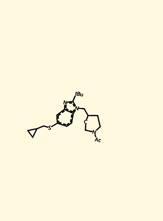 CC(=O)N1CCC(Cn2c(C(C)(C)C)nc3cc(SCC4CC4)ccc32)CC1